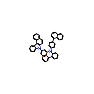 c1ccc(-c2ccccc2N(c2ccc(-c3cccc4ccccc34)cc2)c2cccc(-n3c4ccccc4c4c5ccccc5ccc43)c2)cc1